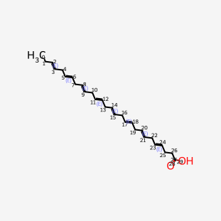 CC/C=C/C/C=C/C/C=C/C/C=C/C/C=C/C/C=C/C/C=C/C/C=C/CCC(=O)O